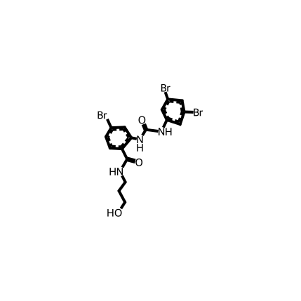 O=C(Nc1cc(Br)cc(Br)c1)Nc1cc(Br)ccc1C(=O)NCCCO